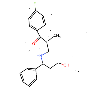 CC(CNC(CCO)c1ccccc1)C(=O)c1ccc(F)cc1